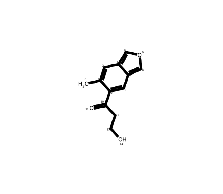 Cc1cc2cocc2cc1C(=O)CCO